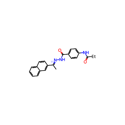 CCC(=O)Nc1ccc(C(=O)N/N=C(\C)c2ccc3ccccc3c2)cc1